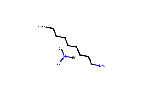 CCCCCCCCCCCCCCCCCCN.CCN(CC)CC